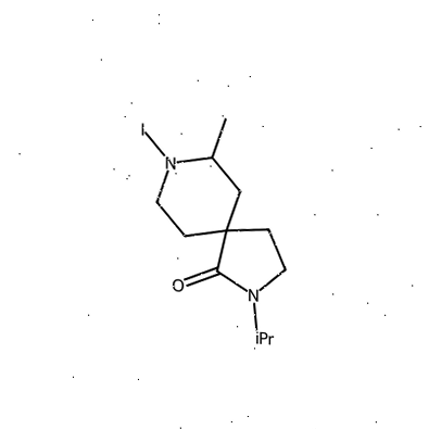 CC1CC2(CCN1I)CCN(C(C)C)C2=O